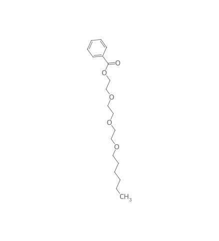 CCCCCCOCCOCCOCCOC(=O)c1ccccc1